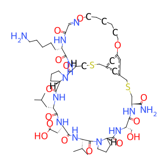 CC(C)C[C@@H]1NC(=O)[C@@H]2CCCN2C(=O)[C@@H]2CSCc3cc(cc(c3)OCCCCCCO/N=C/C(=O)N[C@@H](CCCCCN)C(=O)N2)CSC[C@@H](C(N)=O)NC(=O)[C@H](CO)NC(=O)[C@@H]2CCCN2C(=O)[C@H](C(C)C)NC(=O)[C@H](CC(=O)O)NC1=O